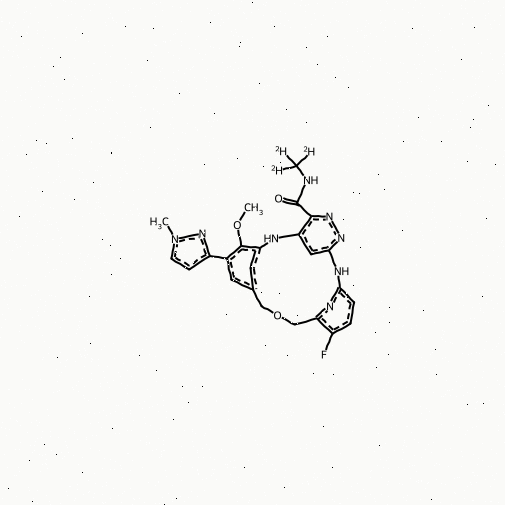 [2H]C([2H])([2H])NC(=O)c1nnc2cc1Nc1cc(cc(-c3ccn(C)n3)c1OC)COCc1nc(ccc1F)N2